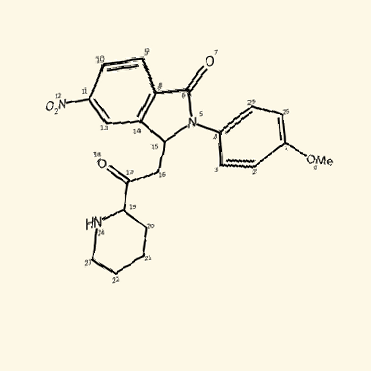 COc1ccc(N2C(=O)c3ccc([N+](=O)[O-])cc3C2CC(=O)C2CCCCN2)cc1